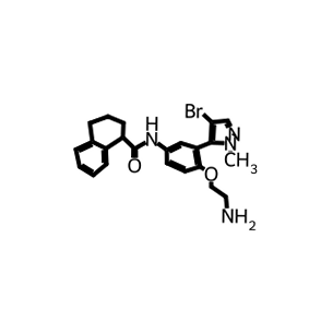 Cn1ncc(Br)c1-c1cc(NC(=O)C2CCCc3ccccc32)ccc1OCCN